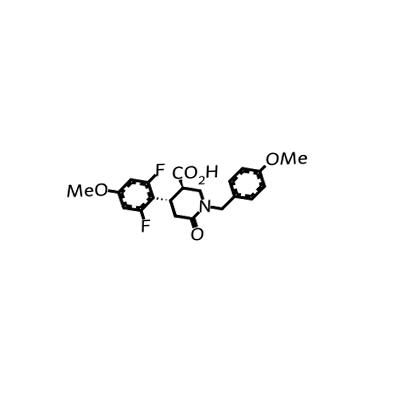 COc1ccc(CN2C[C@H](C(=O)O)[C@@H](c3c(F)cc(OC)cc3F)CC2=O)cc1